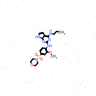 CCCNc1nc(Nc2ccc(S(=O)(=O)N3CCOCC3)cc2OC)nc2[nH]ccc12